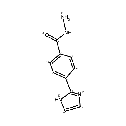 NNC(=O)c1ccc(-c2ncc[nH]2)cc1